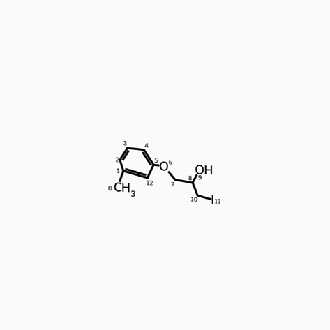 Cc1cccc(OCC(O)CI)c1